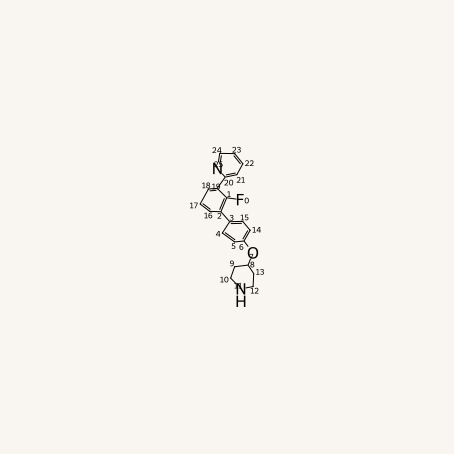 Fc1c(-c2ccc(OC3CCNCC3)cc2)cccc1-c1ccccn1